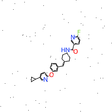 O=C(NC1CCC(=Cc2cccc(Oc3ccc(C4CC4)cn3)c2)CC1)c1ccc(F)nc1